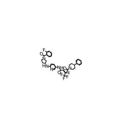 O=C(Nc1ccc(N[C@@H]2CCN(C(=O)c3ccccc3F)C2)nc1)c1oc(N2CCC(c3ccccc3)CC2)nc1C(F)(F)F